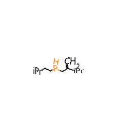 C=C(CPCCC(C)C)C(C)C